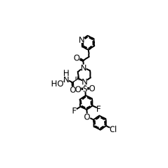 O=C(NO)[C@H]1CN(C(=O)Cc2cccnc2)CCN1S(=O)(=O)c1cc(F)c(Oc2ccc(Cl)cc2)c(F)c1